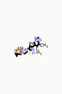 Cc1c(-c2[nH]c3sc(CNCC4(S(C)(=O)=O)CC4)nc3c2C(C)C)cn2ncnc2c1C